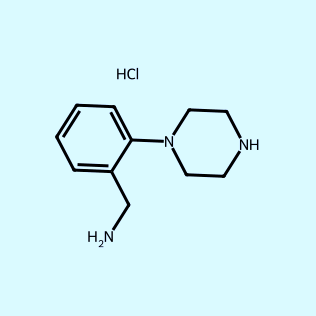 Cl.NCc1ccccc1N1CCNCC1